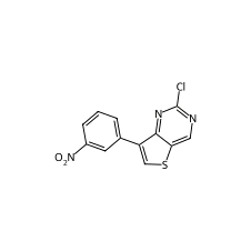 O=[N+]([O-])c1cccc(-c2csc3cnc(Cl)nc23)c1